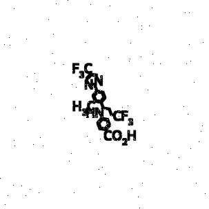 Cc1cc(-c2ncc(C(F)(F)F)cn2)ccc1C(CCC(F)(F)F)Nc1ccc(C(=O)O)cc1